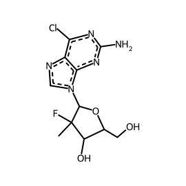 CC1(F)C(O)C(CO)OC1n1cnc2c(Cl)nc(N)nc21